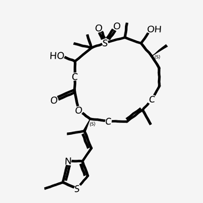 CC1=CC[C@@H](C(C)=Cc2csc(C)n2)OC(=O)CC(O)C(C)(C)S(=O)(=O)C(C)C(O)[C@@H](C)CCC1